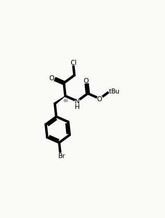 CC(C)(C)OC(=O)N[C@@H](Cc1ccc(Br)cc1)C(=O)CCl